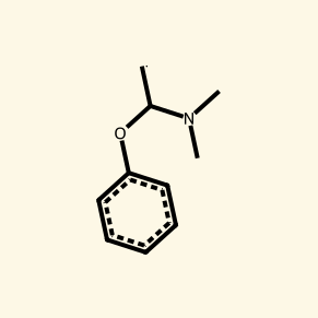 [CH2]C(Oc1ccccc1)N(C)C